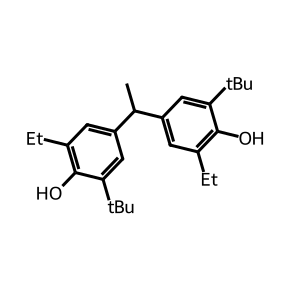 CCc1cc(C(C)c2cc(CC)c(O)c(C(C)(C)C)c2)cc(C(C)(C)C)c1O